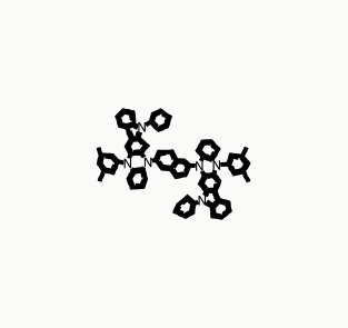 Cc1cc(C)cc(N2c3ccccc3N(c3ccc4cc(N5c6ccccc6N(c6cc(C)cc(C)c6)c6cc7c8ccccc8n(-c8ccccc8)c7cc65)ccc4c3)c3cc4c(cc32)c2ccccc2n4-c2ccccc2)c1